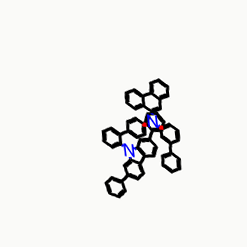 c1ccc(-c2cccc(N(c3ccc(-c4ccccc4-n4c5cc(-c6ccccc6)ccc5c5ccc(-c6ccccc6)cc54)cc3)c3cc4ccccc4c4ccccc34)c2)cc1